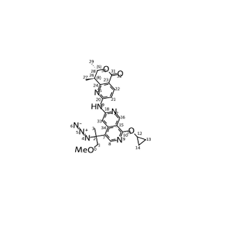 COCC(C)(N=[N+]=[N-])c1cnc(OC2CC2)c2cnc(Nc3ccc4c(n3)[C@@H](C)[C@H](C)OC4=O)cc12